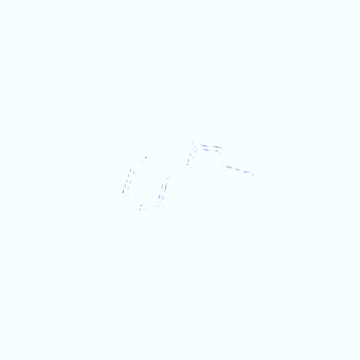 Nc1cnc(-c2ccc(Br)cn2)s1